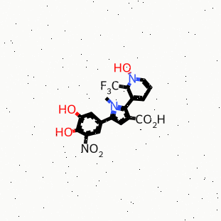 Cn1c(-c2cc(O)c(O)c([N+](=O)[O-])c2)cc(C(=O)O)c1C1=CC=CN(O)C1C(F)(F)F